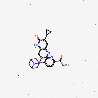 CNC(=O)c1ccc(N2CC3CC(C2)N3Cc2cnc3cc(C4CC4)c(=O)[nH]c3c2)cn1